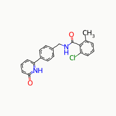 Cc1cccc(Cl)c1C(=O)NCc1ccc(-c2cccc(=O)[nH]2)cc1